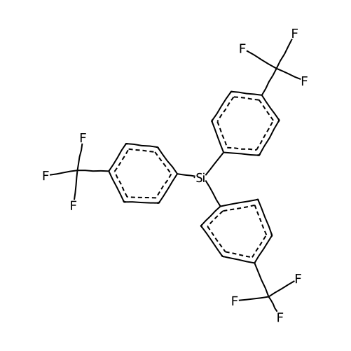 FC(F)(F)c1ccc([Si](c2ccc(C(F)(F)F)cc2)c2ccc(C(F)(F)F)cc2)cc1